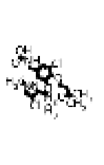 CC(C)(C)CCOc1c(Cl)cc(CNC(=O)O)cc1Cl.CCc1nn(C)cc1Cl